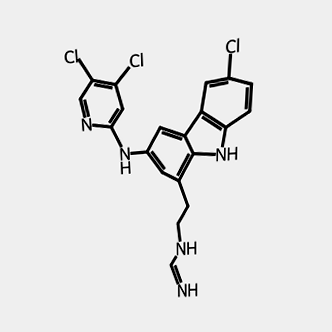 N=CNCCc1cc(Nc2cc(Cl)c(Cl)cn2)cc2c1[nH]c1ccc(Cl)cc12